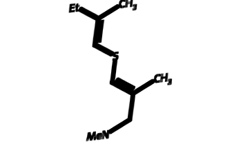 CC/C(C)=C/S/C=C(\C)CNC